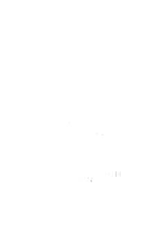 N#CC(C[SiH3])CC(=O)OCc1ccccc1